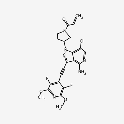 C=CC(=O)N1CCC(n2nc(C#Cc3c(F)c(OC)nc(OC)c3F)c3c(N)ncc(Cl)c32)C1